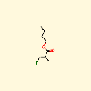 CCCCOC(=O)C(C)CF